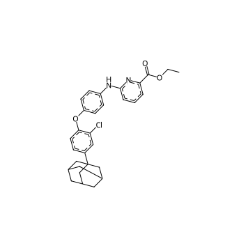 CCOC(=O)c1cccc(Nc2ccc(Oc3ccc(C45CC6CC(CC(C6)C4)C5)cc3Cl)cc2)n1